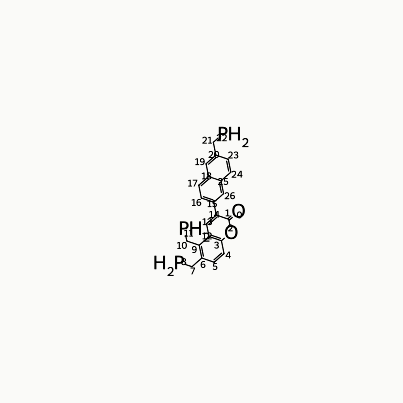 O=c1oc2ccc(CP)c(CP)c2cc1-c1ccc2cc(CP)ccc2c1